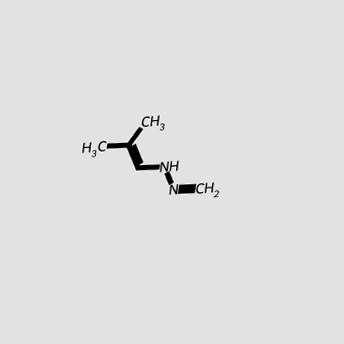 C=NNC=C(C)C